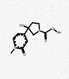 Cn1ccc(C2(O)CCN(C(=O)OC(C)(C)C)C2)cc1=O